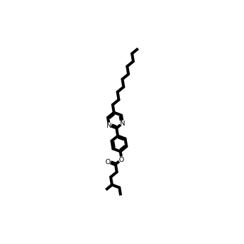 CCCCCCCCCCc1cnc(-c2ccc(OC(=O)CCC(C)CC)cc2)nc1